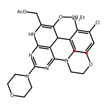 CCOC(=O)OC1=C(COC(C)=O)Nc2nc(N3CCOCC3)nc(N3CCOCC3)c2C1c1cccc(Cl)c1Cl